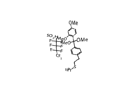 CCCSCCc1ccc(C(OC)(OC)c2ccc(OC)cc2OC)cc1.O=S(=O)(O)C(F)(F)C(F)(F)C(F)(F)C(F)(F)F